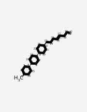 C[C@H]1CC[C@H](C2CCC([C@H]3CC[C@H](CCC/C=C/CCF)CC3)CC2)CC1